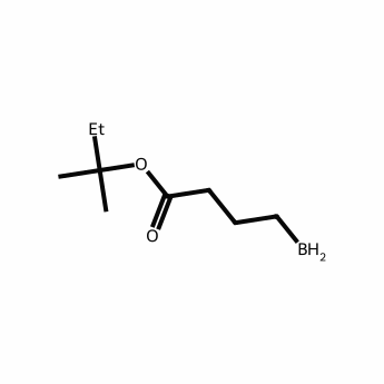 BCCCC(=O)OC(C)(C)CC